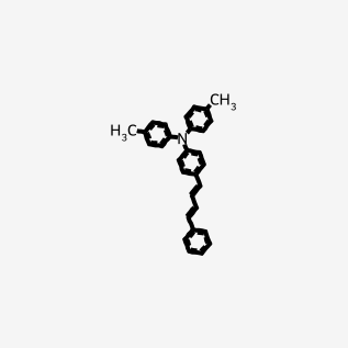 Cc1ccc(N(c2ccc(C)cc2)c2ccc(C=CC=Cc3ccccc3)cc2)cc1